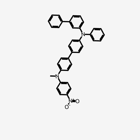 CN(c1ccc(-c2ccc(N(c3ccccc3)c3cccc(-c4ccccc4)c3)cc2)cc1)c1ccc([N+](=O)[O-])cc1